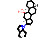 C[C@]12CC(O)C3C(CC[C@@H]4C[C@H](O)CC[C@]34C)C1CC=C2n1ccc2ccccc21